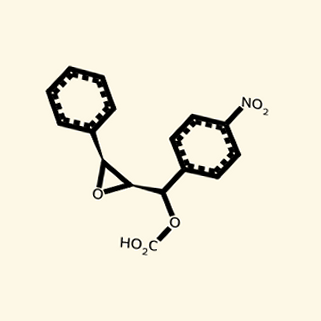 O=C(O)OC(c1ccc([N+](=O)[O-])cc1)[C@H]1O[C@H]1c1ccccc1